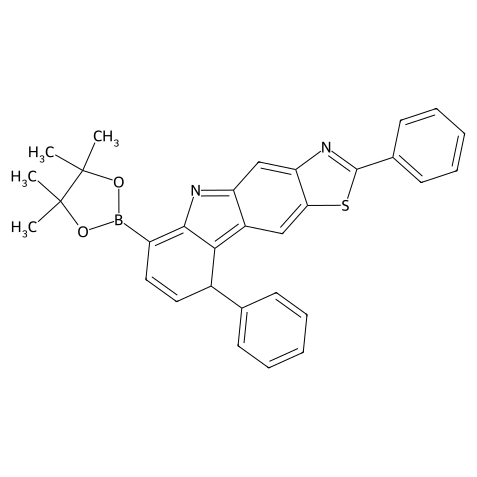 CC1(C)OB(C2=C3N=c4cc5nc(-c6ccccc6)sc5cc4=C3C(c3ccccc3)C=C2)OC1(C)C